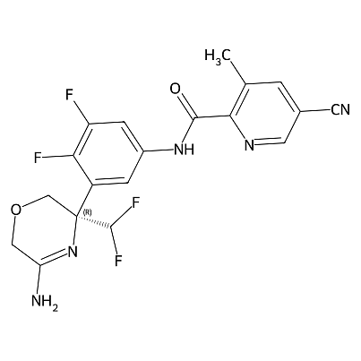 Cc1cc(C#N)cnc1C(=O)Nc1cc(F)c(F)c([C@]2(C(F)F)COCC(N)=N2)c1